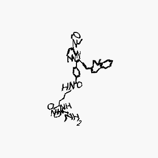 NCC(=O)NC(CCCCNC(=O)c1ccc(-c2c(C#Cc3ccc4ccccc4n3)nc3c(N4CCOCC4)ccnn23)cc1)C(N)=O